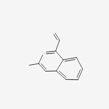 O=Cc1nc(F)cc2ccccc12